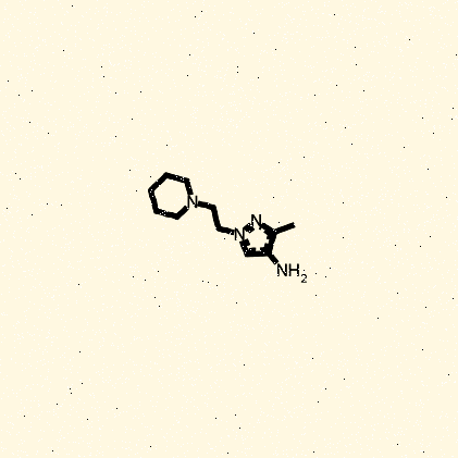 Cc1nn(CCN2CCCCC2)cc1N